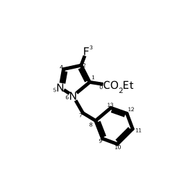 CCOC(=O)c1c(F)cnn1Cc1ccccc1